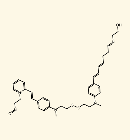 CN(CCSSCCN(C)c1ccc(/C=C/c2cccc[n+]2CCN=O)cc1)c1ccc(/C=C/C=C/CC/C=N/CCO)cc1